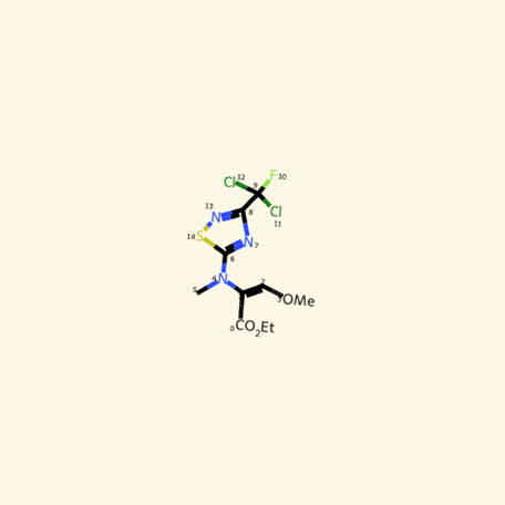 CCOC(=O)C(=COC)N(C)c1nc(C(F)(Cl)Cl)ns1